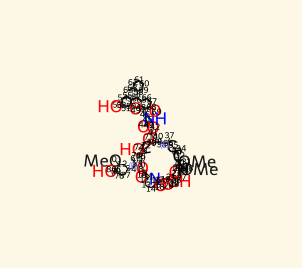 COC1CC(/C=C(\C)[C@H]2OC(=O)C3CCCCN3C(=O)C(=O)C3(O)O[C@@H](C(OC)CC3C)[C@@H](OC)C[C@@H](C)C/C(C)=C/[C@@H](CCOC(=O)NCc3c4oc5cc(O)ccc5c(-c5ccccc5C)c-4ccc3=O)C(=O)CC(O)[C@H]2C)CC[C@H]1O